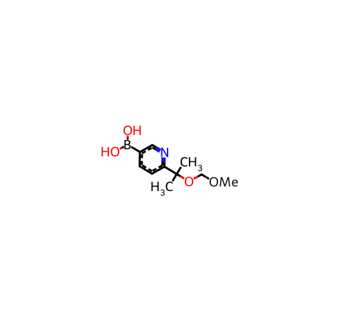 COCOC(C)(C)c1ccc(B(O)O)cn1